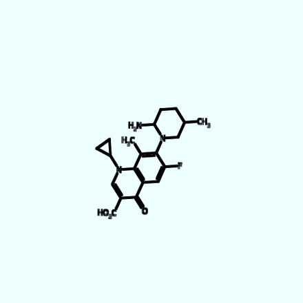 Cc1c(N2CC(C)CCC2N)c(F)cc2c(=O)c(C(=O)O)cn(C3CC3)c12